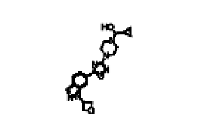 OC(C1CC1)N1CCN(c2noc(-c3ccc4cnn(C5COC5)c4c3)n2)CC1